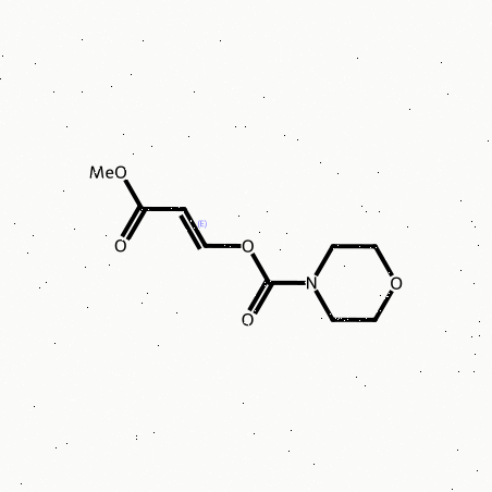 COC(=O)/C=C/OC(=O)N1CCOCC1